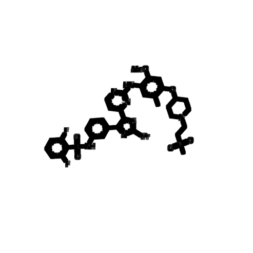 COc1cc(OC2CCN(CCS(C)(=O)=O)CC2)c(C)cc1Nc1nccc(-c2sc(C(C)C)nc2-c2cccc(NS(=O)(=O)c3c(F)cccc3F)c2)n1